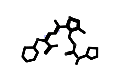 C=C(C)/C(=C\C=C(/C)c1scc(C)c1COC(=O)N(C)C1CCCC1)OC1CCCCC1